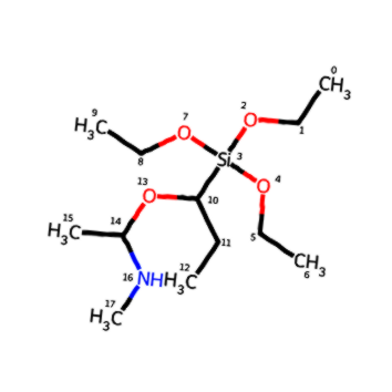 CCO[Si](OCC)(OCC)C(CC)OC(C)NC